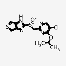 CC(C)Oc1nc(C[S+]([O-])c2nc3cscc3[nH]2)ncc1Cl